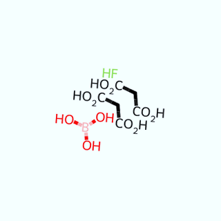 F.O=C(O)CC(=O)O.O=C(O)CC(=O)O.OB(O)O